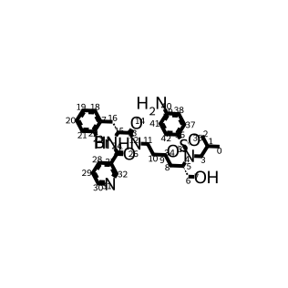 CC(C)CN([C@H](CO)CCCCNC(=O)[C@@H](Cc1ccccc1Br)NC(=O)c1cccnc1)S(=O)(=O)c1ccc(N)cc1